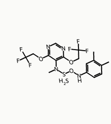 Cc1ccc(NOSN(C)c2c(OCC(F)(F)F)ncnc2OCC(F)(F)F)cc1C.S